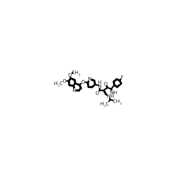 COc1cc2nccc(Oc3ccc(NC(=O)/C(=C/NC(C)C)C(=O)C(=N)c4ccc(F)cc4)cn3)c2cc1OC